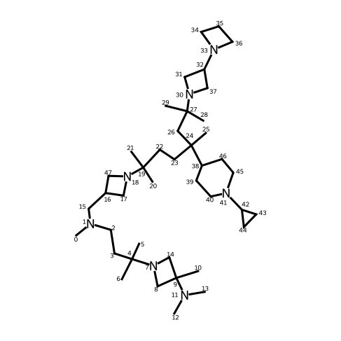 CN(CCC(C)(C)N1CC(C)(N(C)C)C1)CC1CN(C(C)(C)CCC(C)(CC(C)(C)N2CC(N3CCC3)C2)C2CCN(C3CC3)CC2)C1